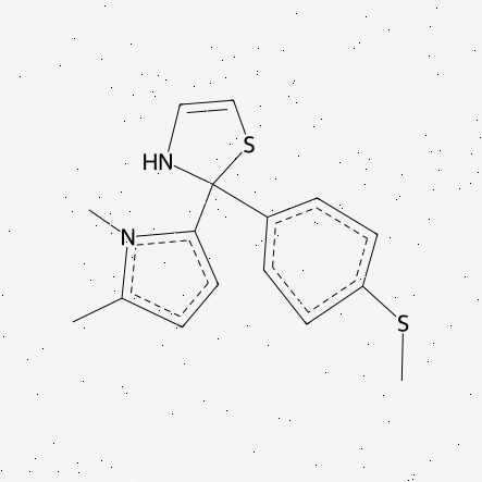 CSc1ccc(C2(c3ccc(C)n3C)NC=CS2)cc1